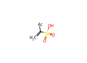 C=C(C(C)=O)S(=O)(=O)O